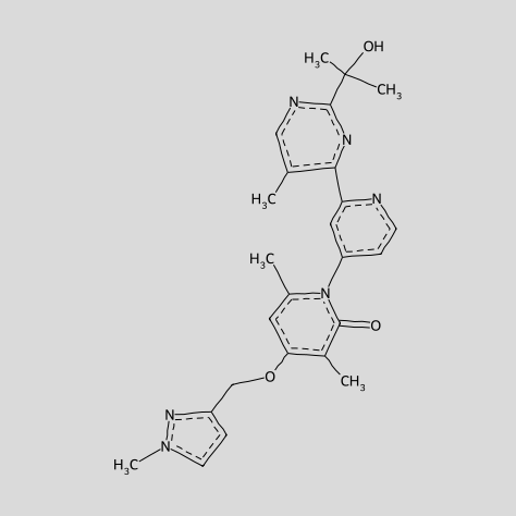 Cc1cnc(C(C)(C)O)nc1-c1cc(-n2c(C)cc(OCc3ccn(C)n3)c(C)c2=O)ccn1